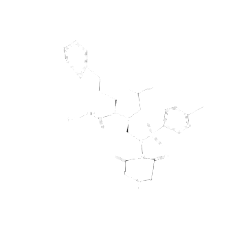 Cc1ccc(S(=O)(=O)N(C[C@H](CC(C)C)[C@H](CCCc2ccccc2)C(=O)NO)N2C(=O)CNCC2=O)cc1